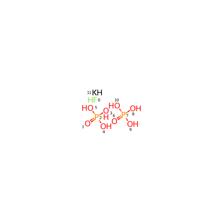 F.O=P(O)(O)O.O=P(O)(O)O.[KH]